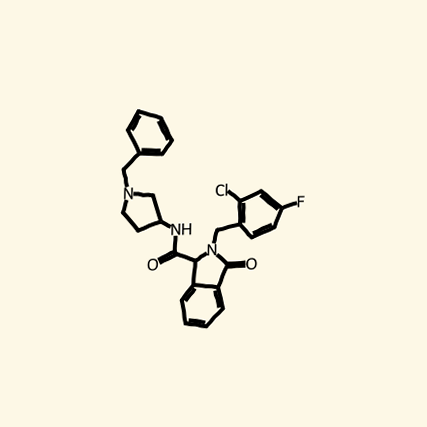 O=C(NC1CCN(Cc2ccccc2)C1)C1c2ccccc2C(=O)N1Cc1ccc(F)cc1Cl